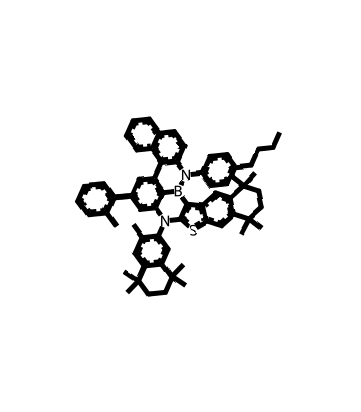 CCCCc1ccc(N2B3c4c(cc(-c5ccccc5C)cc4N(c4cc5c(cc4C)C(C)(C)CCC5(C)C)c4sc5cc6c(cc5c43)C(C)(C)CCC6(C)C)-c3c2ccc2ccccc32)cc1